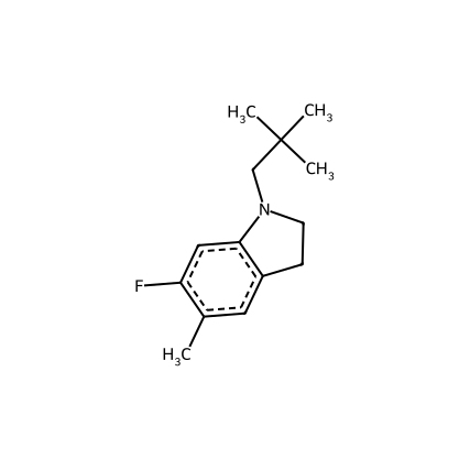 Cc1cc2c(cc1F)N(CC(C)(C)C)CC2